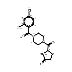 O=C1CCC(C(=O)N2CCN(C(=O)c3ccc(Cl)cc3Cl)CC2)N1